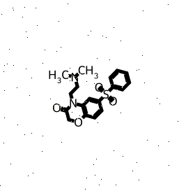 CN(C)CCN1C(=O)COc2ccc(S(=O)(=O)c3ccccc3)cc21